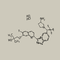 CC(C)(O)COc1cc2nc(-c3nnc4ccc([C@@H](N5CCC(N)C5)C(F)(F)F)cn34)ccc2cc1F.Cl.Cl